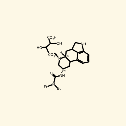 CCN(CC)C(=O)N[C@H]1CC2c3cccc4c3C(CN4)C[C@H]2N(C)C1.O=C(O)C(O)C(O)C(=O)O